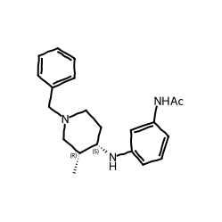 CC(=O)Nc1cccc(N[C@H]2CCN(Cc3ccccc3)C[C@H]2C)c1